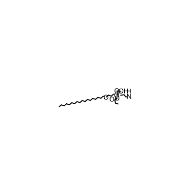 CCCCCCCCCCCCCCCCCCOCC(COP(=O)(O)CCCNC)OC(=O)CC